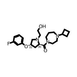 O=C([C@H]1C[C@H](Oc2cccc(F)c2)CN1CCO)N1CCCN(C2CCC2)CC1